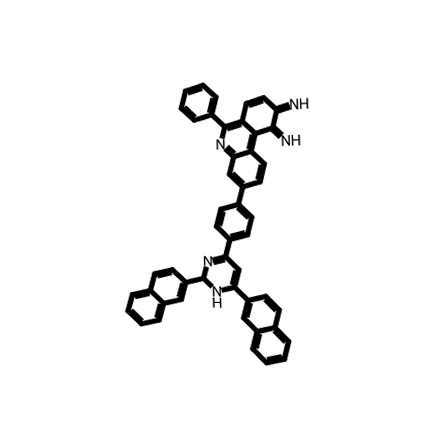 N=C1C=Cc2c(-c3ccccc3)nc3cc(-c4ccc(C5=NC(c6ccc7ccccc7c6)NC(c6ccc7ccccc7c6)=C5)cc4)ccc3c2C1=N